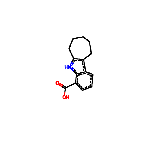 O=C(O)c1cccc2c3c([nH]c12)CCCCC3